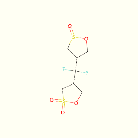 O=S1CC(C(F)(F)C2COS(=O)(=O)C2)CO1